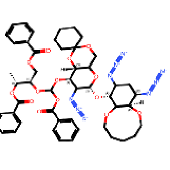 C[C@@H](OC(=O)c1ccccc1)[C@@H](COC(=O)c1ccccc1)OC(OC(=O)c1ccccc1)O[C@@H]1C(N=[N+]=[N-])[C@@H](O[C@@H]2C(N=[N+]=[N-])C[C@@H](N=[N+]=[N-])[C@H]3OCCCCCOC23)OC2COC3(CCCCC3)O[C@H]21